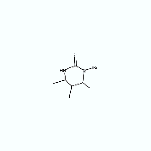 CC1NC(=O)N(C(C)(C)C)C(C)C1C